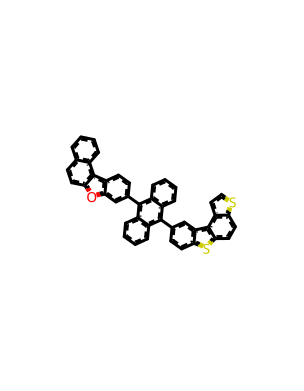 c1ccc2c(c1)ccc1oc3cc(-c4c5ccccc5c(-c5ccc6sc7ccc8sccc8c7c6c5)c5ccccc45)ccc3c12